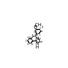 COc1cccc(CCc2ccccc2C2=NCCN2)c1